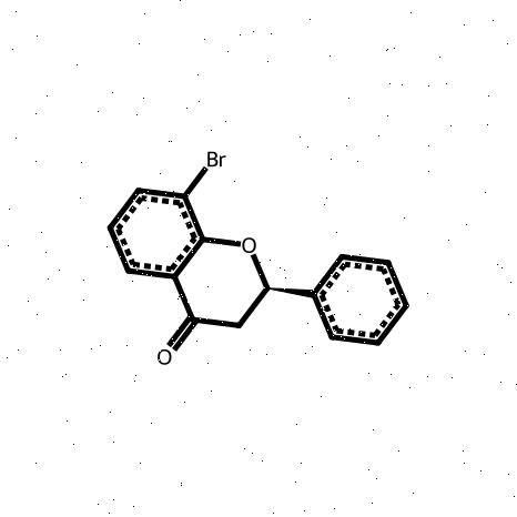 O=C1C[C@H](c2ccccc2)Oc2c(Br)cccc21